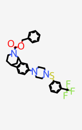 O=C(OCc1ccccc1)N1CCC2CC1c1cc(N3CCN(Sc4cccc(C(F)(F)F)c4)CC3)ccc12